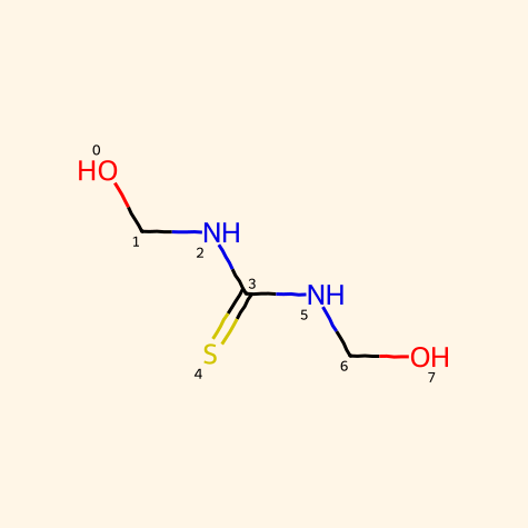 OCNC(=S)NCO